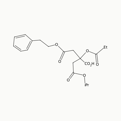 CCC(=O)OC(CC(=O)OCCc1ccccc1)(CC(=O)OC(C)C)C(=O)O